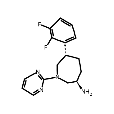 N[C@@H]1CC[C@@H](c2cccc(F)c2F)CN(c2ncccn2)C1